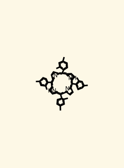 Cc1ccc(-c2c3nc(c(-c4ccc(C)cc4C)c4ccc([nH]4)c(-c4ccc(C)cc4C)c4nc(c(-c5ccc(C)cc5C)c5ccc2[nH]5)C=C4)C=C3)c(C)c1